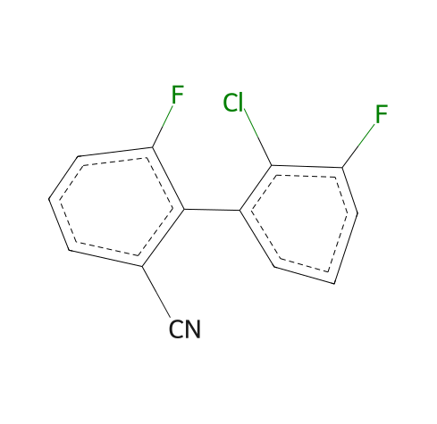 N#Cc1cccc(F)c1-c1cccc(F)c1Cl